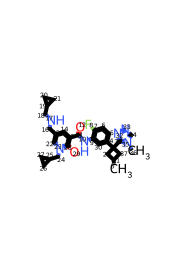 CC1CC(c2ccc(F)c(NC(=O)c3cc(CNCC4CC4)cn(CC4CC4)c3=O)c2)(c2nncn2C)C1